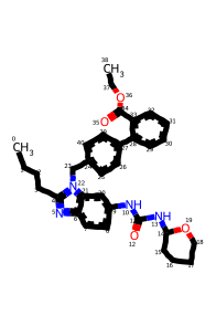 CCCCc1nc2ccc(NC(=O)NC3CCCCO3)cc2n1Cc1ccc(-c2ccccc2C(=O)OCC)cc1